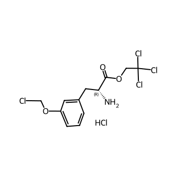 Cl.N[C@H](Cc1cccc(OCCl)c1)C(=O)OCC(Cl)(Cl)Cl